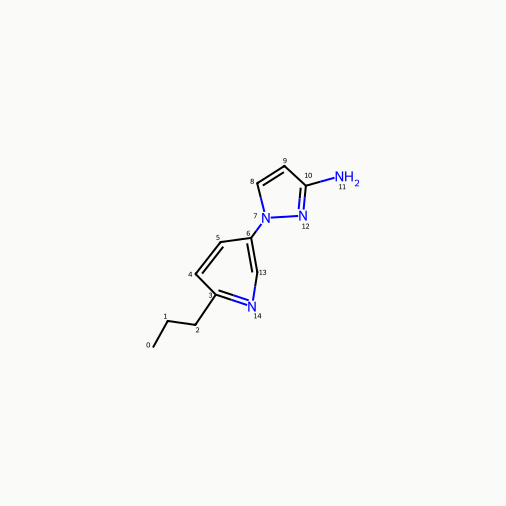 CCCc1ccc(-n2ccc(N)n2)cn1